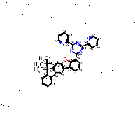 CC(C)(C)C1(C)c2ccccc2-c2cc3c(cc21)oc1c(-c2nc(-c4ccccn4)nc(-c4ccccn4)n2)cccc13